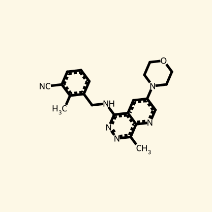 Cc1c(C#N)cccc1CNc1nnc(C)c2ncc(N3CCOCC3)cc12